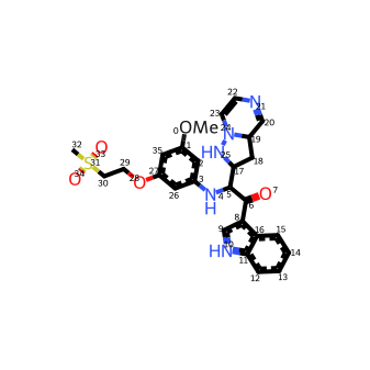 COc1cc(NC(C(=O)c2c[nH]c3ccccc23)C2CC3C=NC=CN3N2)cc(OCCS(C)(=O)=O)c1